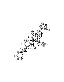 CC(C)CC(N)C(=O)NC(Cc1ccc(OCc2ccccc2)cc1)C(=O)NCCC1CCCN1C